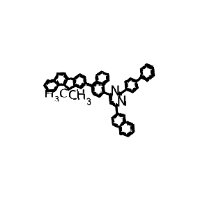 CC1(C)c2cc(-c3ccc(-c4cc(-c5ccc6ccccc6c5)nc(-c5ccc(-c6ccccc6)cc5)n4)c4ccccc34)ccc2-c2ccc3ccccc3c21